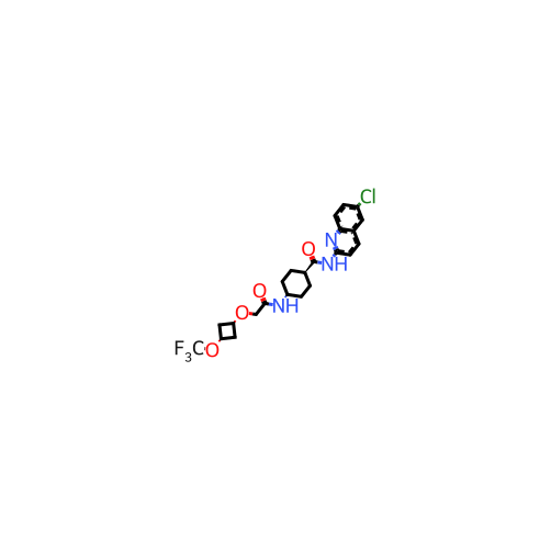 O=C(CO[C@H]1C[C@@H](OC(F)(F)F)C1)N[C@H]1CC[C@H](C(=O)Nc2ccc3cc(Cl)ccc3n2)CC1